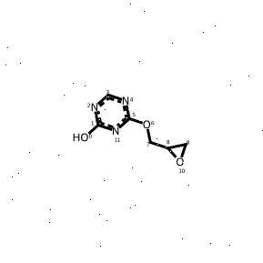 Oc1ncnc(OCC2CO2)n1